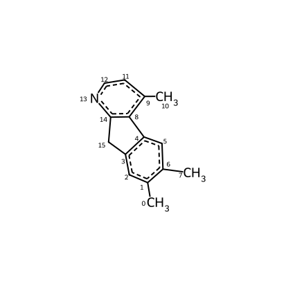 Cc1cc2c(cc1C)-c1c(C)ccnc1C2